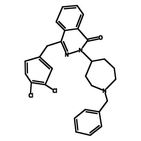 O=c1c2ccccc2c(Cc2ccc(Cl)c(Cl)c2)nn1C1CCCN(Cc2ccccc2)CC1